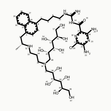 C[C@H](Cc1ccc(CCCCNC(=N)NC(=O)c2nc(Cl)c(N)nc2N)c2ccccc12)NCCCN(C[C@H](O)[C@@H](O)[C@H](O)[C@H](O)CO)C[C@H](O)[C@@H](O)[C@H](O)[C@H](O)CO